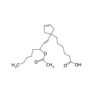 CCCCCC(C=CC1(CCCCCC(=O)O)CC=CC1)OC(C)=O